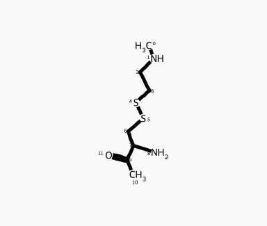 CNCCSSCC(N)C(C)=O